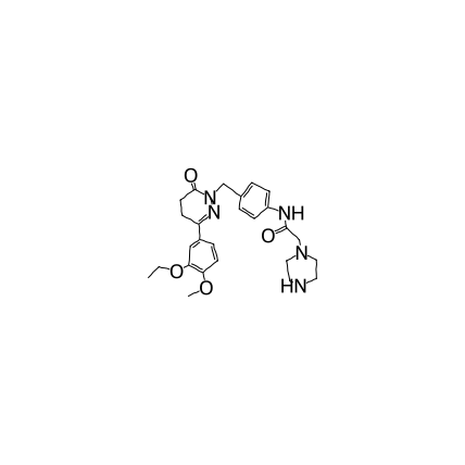 CCOc1cc(C2=NN(Cc3ccc(NC(=O)CN4CCNCC4)cc3)C(=O)CC2)ccc1OC